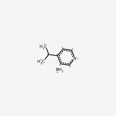 B.CC(C)c1ccncc1